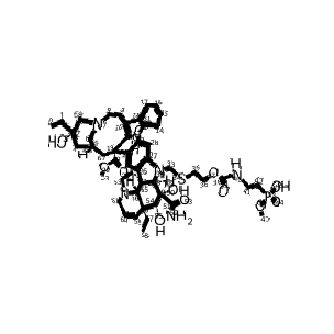 CC[C@]1(O)C[C@@H]2CN(CCc3c([nH]c4ccccc34)[C@@](C(=O)OC)(c3cc4c(cc3OC)N(CSCCOC(=O)NCCP(=O)(O)OC)[C@H]3[C@@](O)(C(N)=O)[C@H](O)[C@]5(CC)C=CCN6CC[C@]43[C@@H]65)C2)C1